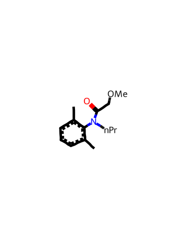 CCCN(C(=O)COC)c1c(C)cccc1C